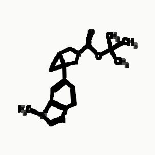 Cn1cnc2ccc(C34CC3CN(C(=O)OC(C)(C)C)C4)cc21